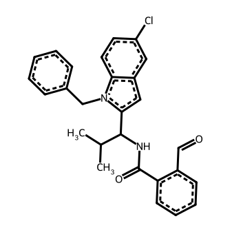 CC(C)C(NC(=O)c1ccccc1C=O)c1cc2cc(Cl)ccc2n1Cc1ccccc1